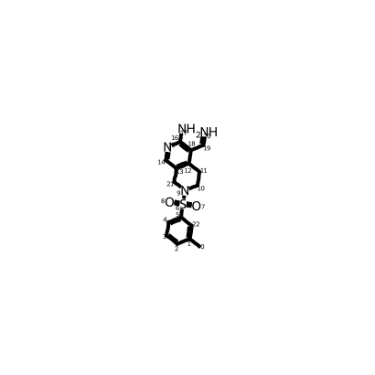 Cc1cccc(S(=O)(=O)N2CCc3c(cnc(N)c3C=N)C2)c1